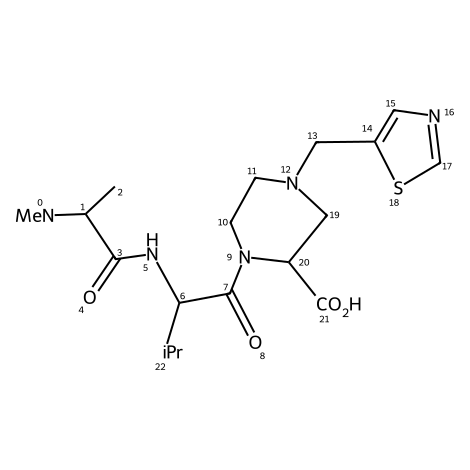 CNC(C)C(=O)NC(C(=O)N1CCN(Cc2cncs2)CC1C(=O)O)C(C)C